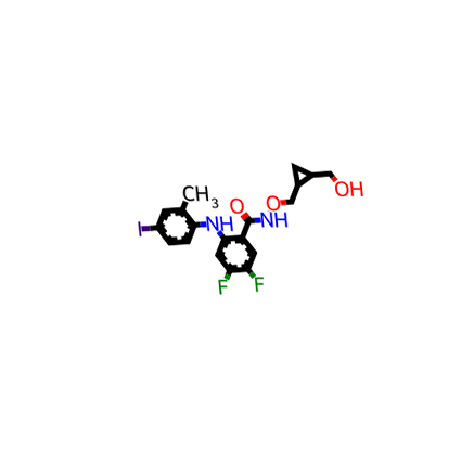 Cc1cc(I)ccc1Nc1cc(F)c(F)cc1C(=O)NOCC1CC1CO